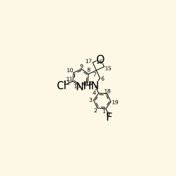 Fc1ccc(NCC2(c3ccc(Cl)nc3)COC2)cc1